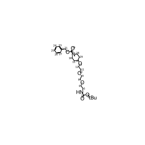 CC(C)(C)OC(=O)NCCOCCOCCOC1CCN(C(=O)OCc2ccccc2)CC1